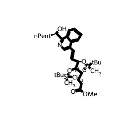 CCCCC[C@@H](O)c1ncc(/C=C/[C@@H](O[Si](C)(C)C(C)(C)C)C(CCCC(=O)OC)O[Si](C)(C)C(C)(C)C)c2ccccc12